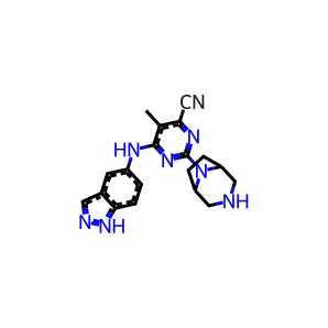 Cc1c(C#N)nc(N2C3CCC2CNC3)nc1Nc1ccc2[nH]ncc2c1